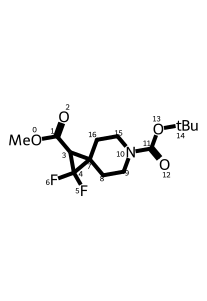 COC(=O)C1C(F)(F)C12CCN(C(=O)OC(C)(C)C)CC2